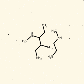 CCC(NC)C(N)CN.CNCCN